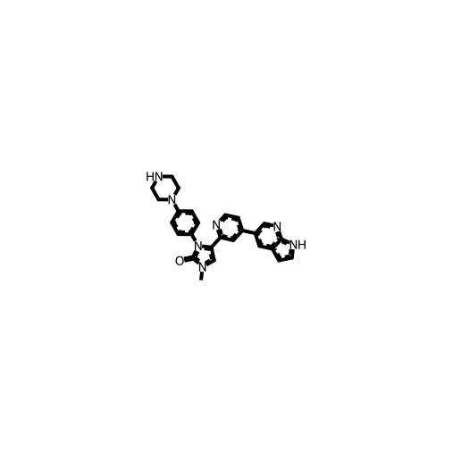 Cn1cc(-c2cc(-c3cnc4[nH]ccc4c3)ccn2)n(-c2ccc(N3CCNCC3)cc2)c1=O